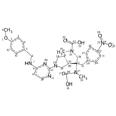 COc1ccc(CNc2ccnc(N3CC[C@@H](C(Cc4ccc([N+](=O)[O-])cc4)(CN(C)C(=O)O)N(C)C(=O)O)C3)n2)cc1